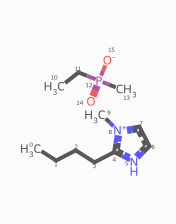 CCCCc1[nH]cc[n+]1C.CCP(C)(=O)[O-]